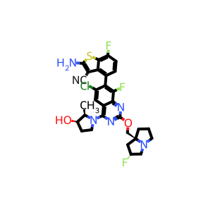 C[C@@H]1[C@H](O)CCN1c1nc(OC[C@@]23CCCN2C[C@H](F)C3)nc2c(F)c(-c3ccc(F)c4sc(N)c(C#N)c34)c(Cl)cc12